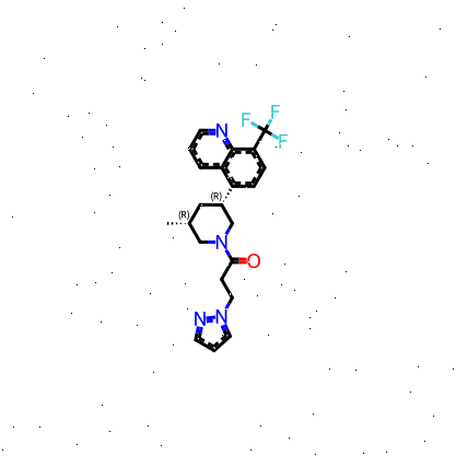 C[C@@H]1C[C@H](c2ccc(C(F)(F)F)c3ncccc23)CN(C(=O)CCn2cccn2)C1